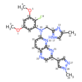 COc1cc(OC)c(F)c(N(Cc2nc(C)c[nH]2)c2ccc3ncc(-c4cnn(C)c4)nc3n2)c1